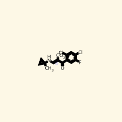 CCOC(=O)/C(=C\NC1(C)CC1)C(=O)c1cc(F)c(Cl)cc1Cl